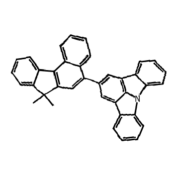 CC1(C)c2ccccc2-c2c1cc(-c1cc3c4ccccc4n4c5ccccc5c(c1)c34)c1ccccc21